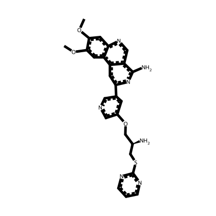 COc1cc2ncc3c(N)nc(-c4cncc(OC[C@@H](N)CSc5ncccn5)c4)cc3c2cc1OC